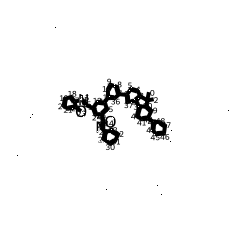 CC1(C)c2ccc(-c3cccc(-c4cc(-c5nc6ccccc6o5)cc(-c5nc6ccccc6o5)c4)c3)cc2-c2ccc(-c3ccccc3)cc21